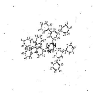 C1=C(c2ccccc2)C=C(c2ccccc2)CC1c1nc(-c2cc(-c3ccccc3)cc(-c3ccccc3)c2)nc(-c2ccc3c(c2)C2(c4ccccc4-c4ccccc42)c2ccccc2-3)n1